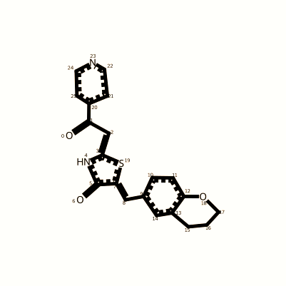 O=C(/C=c1\[nH]c(=O)/c(=C/c2ccc3c(c2)CCCO3)s1)c1ccncc1